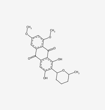 COc1cc(OC)c2c(c1)C(=O)c1cc(O)c(C3CCCC(C)O3)c(O)c1C2=O